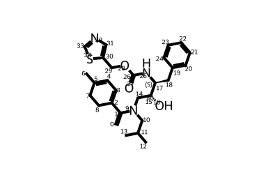 C=C(C1=CC=C(C)CC1)N(CC(C)C)C[C@@H](O)[C@H](Cc1ccccc1)NC(=O)OCc1cncs1